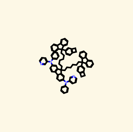 c1ccc(N(c2cccnc2)c2ccc3c(c2)C(CCCCCCC2(c4ccc5c(c4)CC5)c4ccccc4-c4ccccc42)(CCCCCCC2(c4ccc5c(c4)CC5)c4ccccc4-c4ccccc42)c2cc(N(c4ccccc4)c4cccnc4)ccc2-3)cc1